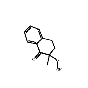 CC1(OO)CCc2ccccc2C1=O